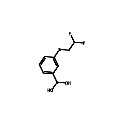 OB(O)c1cccc(SCC(F)F)c1